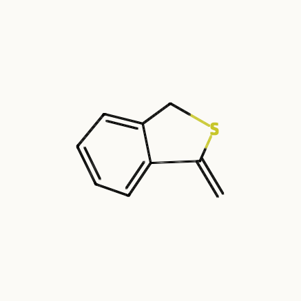 C=C1SCc2ccccc21